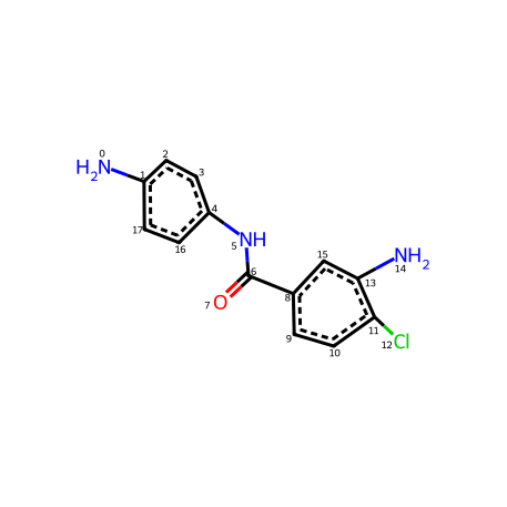 Nc1ccc(NC(=O)c2ccc(Cl)c(N)c2)cc1